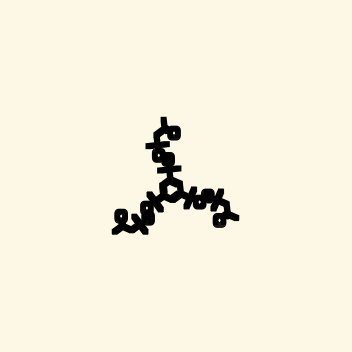 CC(=O)CC(C)(C)OOC(C)(C)c1cc(C(C)(C)OOC(C)(C)CC(C)=O)cc(C(C)(C)OOC(C)(C)CC(C)=O)c1